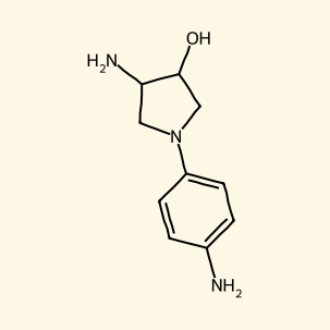 Nc1ccc(N2CC(N)C(O)C2)cc1